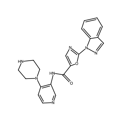 O=C(Nc1cnccc1N1CCNCC1)c1cnc(-n2ncc3ccccc32)o1